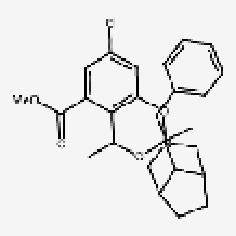 COC(=O)c1cc(Cl)cc2c1C(C)OC(C)(C1C3CCC1CN(Cc1ccccc1)C3)O2